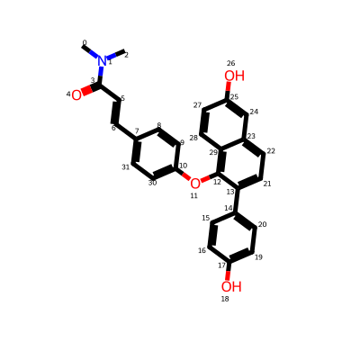 CN(C)C(=O)C=Cc1ccc(Oc2c(-c3ccc(O)cc3)ccc3cc(O)ccc23)cc1